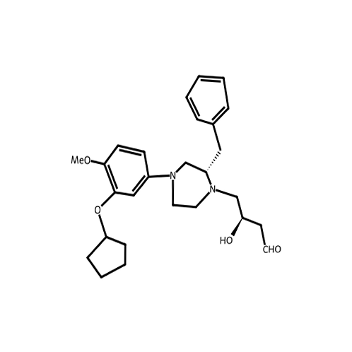 COc1ccc(N2CCN(C[C@H](O)CC=O)[C@@H](Cc3ccccc3)C2)cc1OC1CCCC1